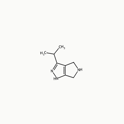 CC(C)c1n[nH]c2c1CNC2